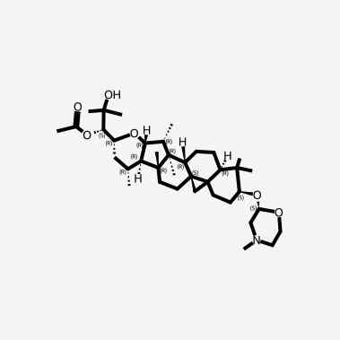 CC(=O)O[C@@H]([C@H]1C[C@@H](C)[C@H]2[C@H](O1)[C@H](C)[C@@]1(C)[C@@H]3CC[C@H]4C(C)(C)[C@@H](O[C@H]5CN(C)CCO5)CCC45C[C@@]35CC[C@]21C)C(C)(C)O